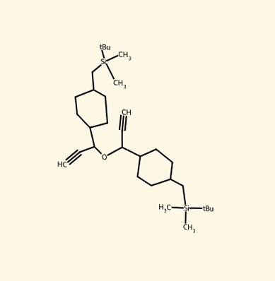 C#CC(OC(C#C)C1CCC(C[Si](C)(C)C(C)(C)C)CC1)C1CCC(C[Si](C)(C)C(C)(C)C)CC1